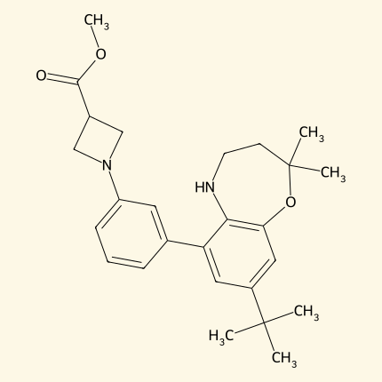 COC(=O)C1CN(c2cccc(-c3cc(C(C)(C)C)cc4c3NCCC(C)(C)O4)c2)C1